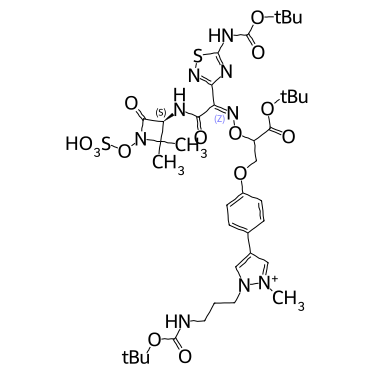 C[n+]1cc(-c2ccc(OCC(O/N=C(\C(=O)N[C@@H]3C(=O)N(OS(=O)(=O)O)C3(C)C)c3nsc(NC(=O)OC(C)(C)C)n3)C(=O)OC(C)(C)C)cc2)cn1CCCNC(=O)OC(C)(C)C